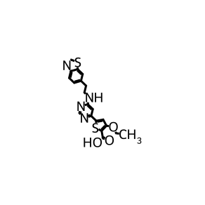 CCOc1cc(-c2cc(NCCc3ccc4ncsc4c3)ncn2)sc1C(=O)O